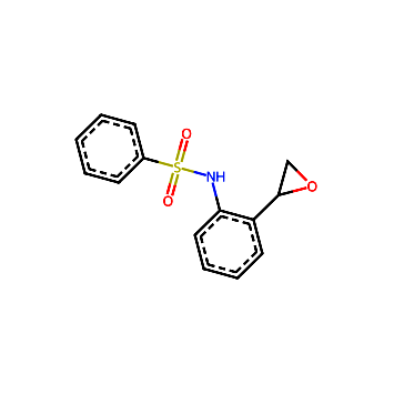 O=S(=O)(Nc1ccccc1C1CO1)c1ccccc1